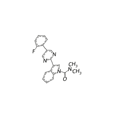 CN(C)C(=O)n1cc(-c2ncc(-c3ccccc3F)cn2)c2ccccc21